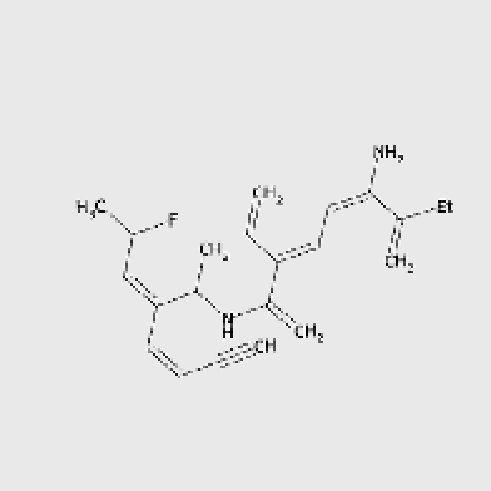 C#C/C=C\C(=C\C(C)F)C(C)NC(=C)/C(C=C)=C/C=C(/N)C(=C)CC